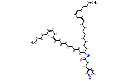 CCCCC/C=C\C/C=C\CCCCCCCCC(CCCCCCCC/C=C\C/C=C\CCCCC)NC(=O)CCc1c[nH]cn1